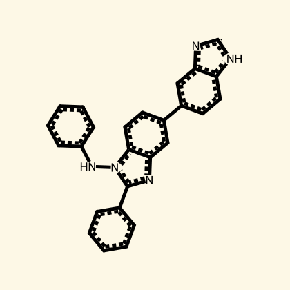 [c]1nc2cc(-c3ccc4c(c3)nc(-c3ccccc3)n4Nc3ccccc3)ccc2[nH]1